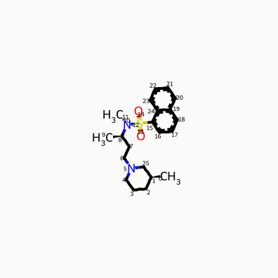 C[C@H]1CCCN(CC[C@@H](C)N(C)S(=O)(=O)c2cccc3ccccc23)C1